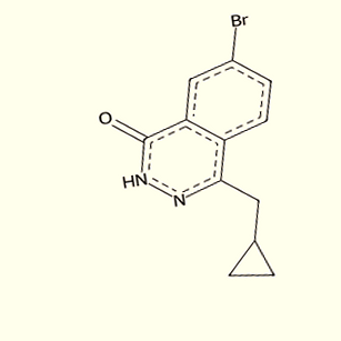 O=c1[nH]nc(CC2CC2)c2ccc(Br)cc12